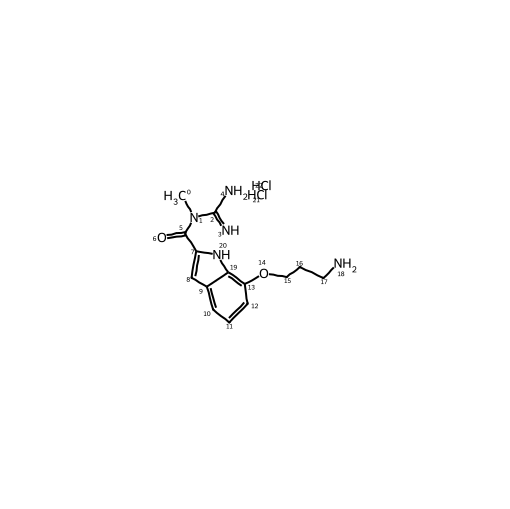 CN(C(=N)N)C(=O)c1cc2cccc(OCCCN)c2[nH]1.Cl.Cl